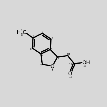 Cc1ccc2c(c1)COC2CC(=O)O